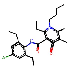 CCCCn1c(C)c(C)c(=O)c(C(=O)Nc2c(CC)cc(Br)cc2CC)c1CC